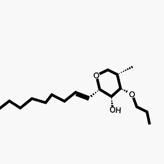 CCCCCCCC=C[C@@H]1OC[C@H](C)[C@H](OCCC)[C@@H]1O